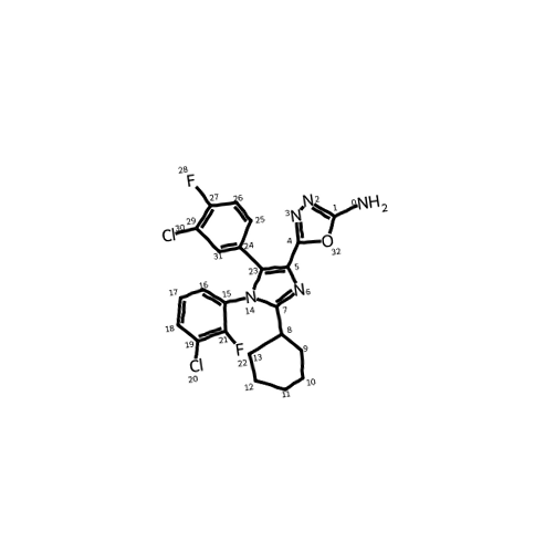 Nc1nnc(-c2nc(C3CCCCC3)n(-c3cccc(Cl)c3F)c2-c2ccc(F)c(Cl)c2)o1